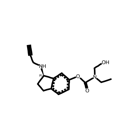 C#CCN[C@@H]1CCc2ccc(OC(=O)N(CC)CO)cc21